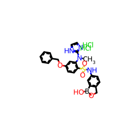 CN(c1ncc[nH]1)c1cc(OCc2ccccc2)ccc1S(=O)(=O)Nc1ccc2c(c1)B(O)OC2.Cl.Cl